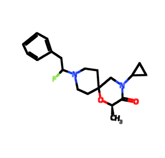 C[C@H]1OC2(CCN(C(F)Cc3ccccc3)CC2)CN(C2CC2)C1=O